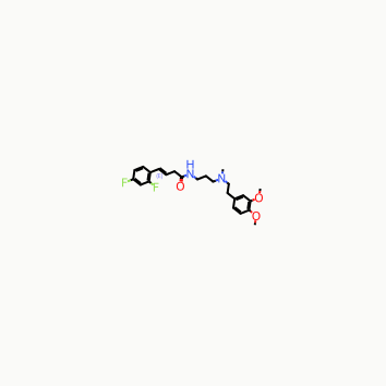 COc1ccc(CCN(C)CCCNC(=O)C/C=C/c2ccc(F)cc2F)cc1OC